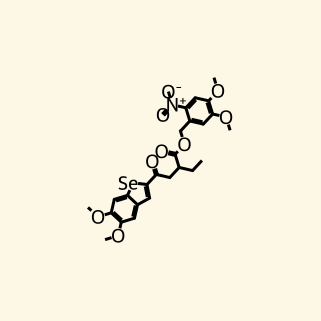 CCC(CC(=O)c1cc2cc(OC)c(OC)cc2[se]1)C(=O)OCc1cc(OC)c(OC)cc1[N+](=O)[O-]